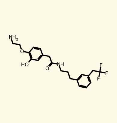 NCCOc1ccc(CC(=O)NCCCc2cccc(CC(F)(F)F)c2)cc1O